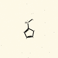 [CH3][Mn][C]1=CC=CC1